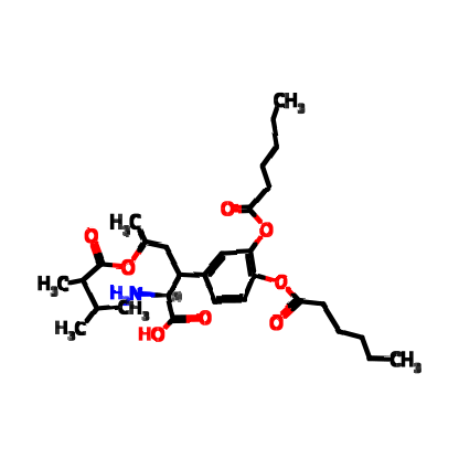 CCCCCC(=O)Oc1ccc(C(CC(C)OC(=O)C(C)C(C)C)[C@H](N)C(=O)O)cc1OC(=O)CCCCC